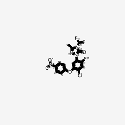 Cc1nn(-c2cc(Oc3ccc([N+](=O)[O-])cc3)c(Cl)cc2F)c(=O)n1C(F)F